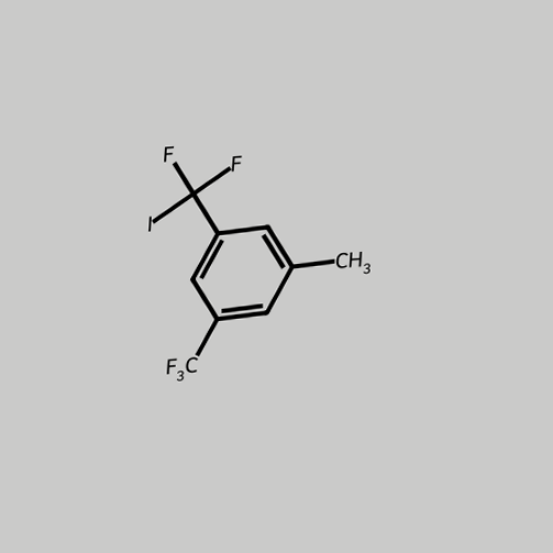 Cc1cc(C(F)(F)F)cc(C(F)(F)I)c1